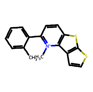 Cc1ccccc1-c1ccc2sc3sccc3c2[n+]1C